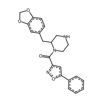 O=C(c1cc(-c2ccccc2)on1)N1CCNCC1Cc1ccc2c(c1)OCO2